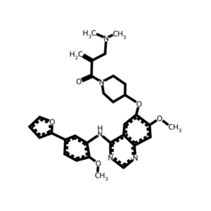 C=C(CN(C)C)C(=O)N1CCC(Oc2cc3c(Nc4cc(-c5ccco5)ccc4OC)ncnc3cc2OC)CC1